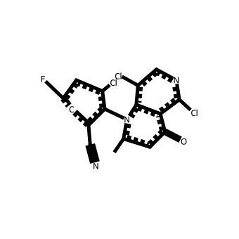 Cc1cc(=O)c2c(Cl)ncc(Cl)c2n1-c1c(Cl)cc(F)cc1C#N